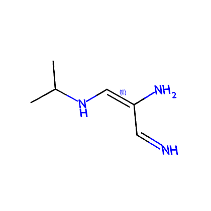 CC(C)N/C=C(/N)C=N